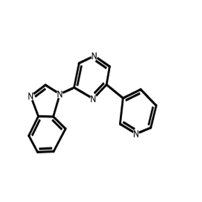 c1cncc(-c2cncc(-n3cnc4ccccc43)n2)c1